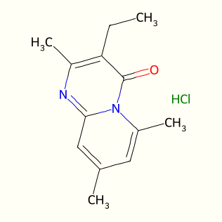 CCc1c(C)nc2cc(C)cc(C)n2c1=O.Cl